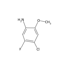 COc1cc(Cl)c(F)cc1N